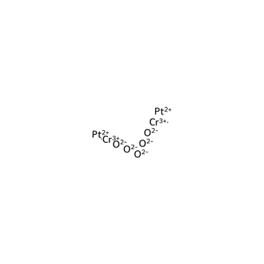 [Cr+3].[Cr+3].[O-2].[O-2].[O-2].[O-2].[O-2].[Pt+2].[Pt+2]